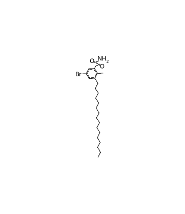 CCCCCCCCCCCCCCCCc1cc(Br)cc(S(N)(=O)=O)c1C